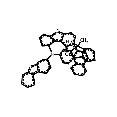 CC1(C)c2ccccc2-c2ccc(N(c3ccc4c(c3)oc3ccccc34)c3cccc4sc5ccc6c7ccc8ccccc8c7oc6c5c34)cc21